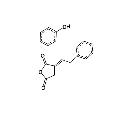 O=C1CC(=CCc2ccccc2)C(=O)O1.Oc1ccccc1